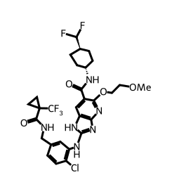 COCCOc1nc2nc(Nc3cc(CNC(=O)C4(C(F)(F)F)CC4)ccc3Cl)[nH]c2cc1C(=O)N[C@H]1CC[C@H](C(F)F)CC1